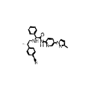 Cc1ccn(-c2ccc(NC(=O)C(NC[C@@H](C)c3ccc(C#N)cc3)c3ccccc3)nc2)n1